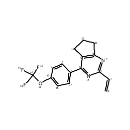 C=Cc1nc2c(c(-c3ccc(OC(F)(F)F)cc3)n1)CCC2